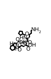 NCCCC[C@H](NC(=O)C1CCCC1)C(=O)N[C@H](CCC(=O)N1[C@H](C(=O)O)C[C@@H]2CCCC[C@@H]21)C(=O)O